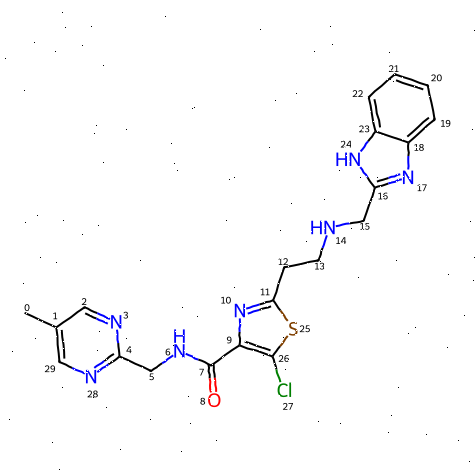 Cc1cnc(CNC(=O)c2nc(CCNCc3nc4ccccc4[nH]3)sc2Cl)nc1